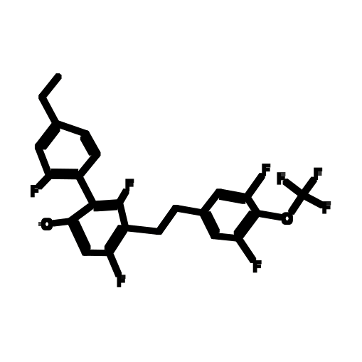 CCc1ccc(-c2c([O])cc(F)c(CCc3cc(F)c(OC(F)(F)F)c(F)c3)c2F)c(F)c1